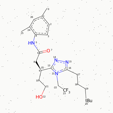 Cc1ccc(NC(=O)C[C@H](CCO)c2nnc(CCCC(C)(C)C)n2CC(F)(F)F)c(C)c1